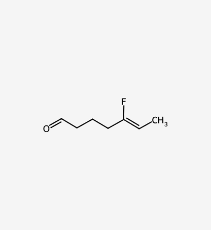 CC=C(F)CCCC=O